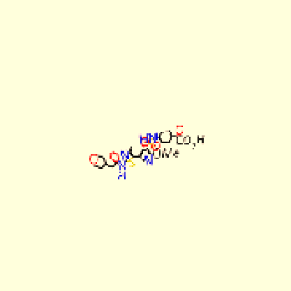 COc1ncc(-c2sc(NC(=O)CC3CCOCC3)nc2C)cc1S(=O)(=O)N[C@H]1CC[C@H](C(=O)C(=O)O)CC1